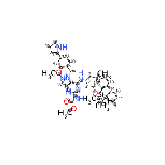 CCC[C@@H](CCO[Si](c1ccccc1)(c1ccccc1)C(C)(C)C)Nc1nc(NC(=O)OC)nc2cnn(Cc3ccc(C4CCCN4)cc3OC)c12